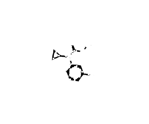 CC(C)(C)OC(=O)N(c1cccc(O)c1)C1CC1